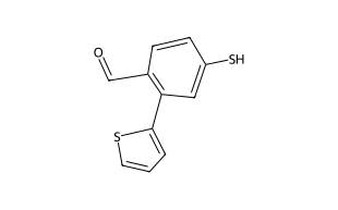 O=Cc1ccc(S)cc1-c1cccs1